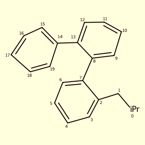 CC(C)Cc1ccccc1-c1ccccc1-c1ccccc1